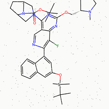 CN1CCC[C@H]1COc1nc(N2CC3CCC(C2)N3C(=O)OC(C)(C)C)c2cnc(-c3cc(O[Si](C)(C)C(C)(C)C)cc4ccccc34)c(F)c2n1